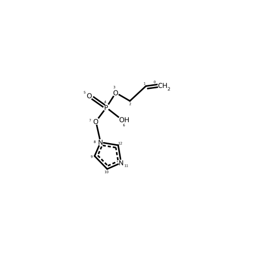 C=CCOP(=O)(O)On1ccnc1